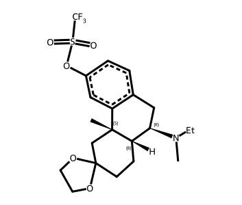 CCN(C)[C@@H]1Cc2ccc(OS(=O)(=O)C(F)(F)F)cc2[C@@]2(C)CC3(CC[C@@H]12)OCCO3